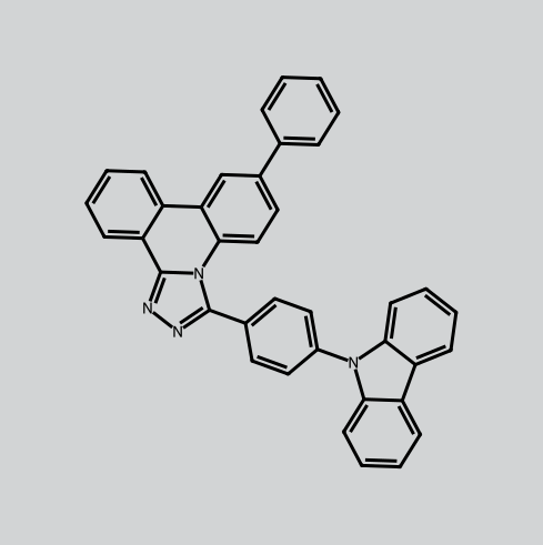 c1ccc(-c2ccc3c(c2)c2ccccc2c2nnc(-c4ccc(-n5c6ccccc6c6ccccc65)cc4)n32)cc1